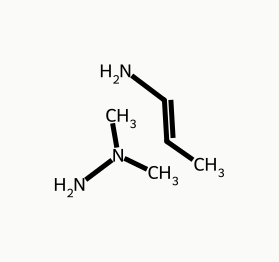 CC=CN.CN(C)N